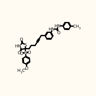 COc1ccc(S(=O)(=O)C2(CCCC#CCc3cccc(NC(=O)Nc4ccc(C)cc4)c3)SC(=O)NC2=O)cc1